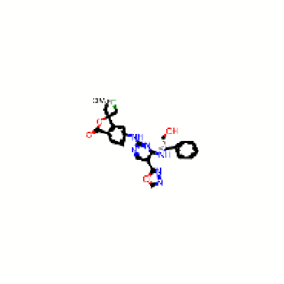 COCC1(CF)OC(=O)c2ccc(Nc3ncc(-c4nnco4)c(N[C@H](CO)c4ccccc4)n3)cc21